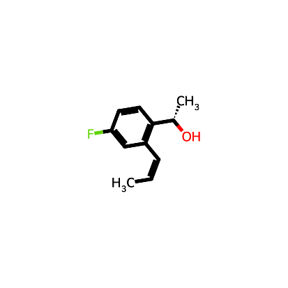 C/C=C\c1cc(F)ccc1[C@H](C)O